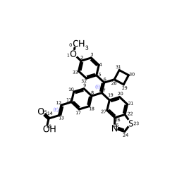 COc1ccc(/C(=C(\c2ccc(/C=C/C(=O)O)cc2)c2ccc3scnc3c2)C2CCC2)cc1